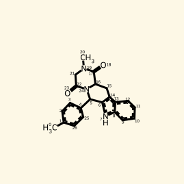 Cc1ccc(C2c3[nH]c4ccccc4c3CC3C(=O)N(C)CC(=O)N32)cc1